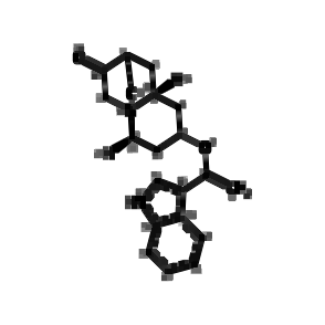 C=C(OC1C[C@H]2CC3C[C@H](C1)N2CC3=O)c1c[nH]c2ccccc12